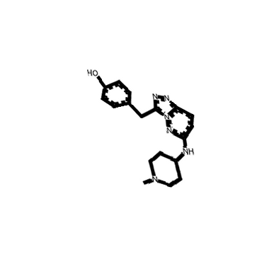 CN1CCC(Nc2ccc3nnc(Cc4ccc(O)cc4)n3n2)CC1